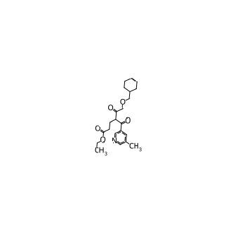 CCOC(=O)CCC(C(=O)COCC1CCCCC1)C(=O)c1cncc(C)c1